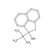 C[Si](C)(C)C1(O)Cc2cccc3cccc1c23